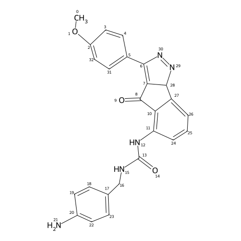 COc1ccc(C2=C3C(=O)c4c(NC(=O)NCc5ccc(N)cc5)cccc4C3N=N2)cc1